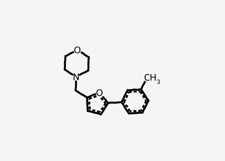 Cc1cccc(-c2ccc(CN3CCOCC3)o2)c1